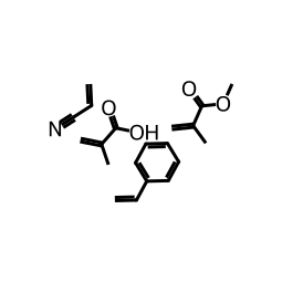 C=C(C)C(=O)O.C=C(C)C(=O)OC.C=CC#N.C=Cc1ccccc1